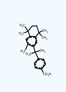 Cc1cc2c(cc1C(C)(C)c1ccc(C(=O)O)cc1)C(C)(C)CCC2(C)C